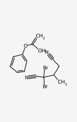 C=C(O)Oc1ccccc1.CC(CC#N)C(Br)(Br)C#N